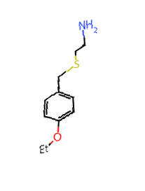 CCOc1ccc(CSCCN)cc1